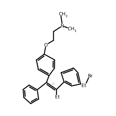 CC/C(=C(\c1ccccc1)c1ccc(OCCN(C)C)cc1)c1ccccc1.CCBr